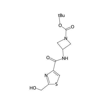 CC(C)(C)OC(=O)N1CC(NC(=O)c2csc(CO)n2)C1